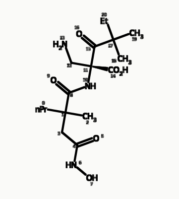 CCCC(C)(CC(=O)NO)C(=O)N[C@@](CN)(C(=O)O)C(=O)C(C)(C)CC